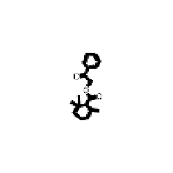 CC1CCCC(C)(C)C1C(=O)OCC(=O)c1ccccc1